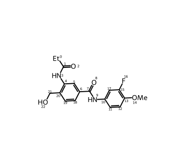 CCC(=O)Nc1cc(C(=O)Nc2ccc(OC)c(F)c2)ccc1CO